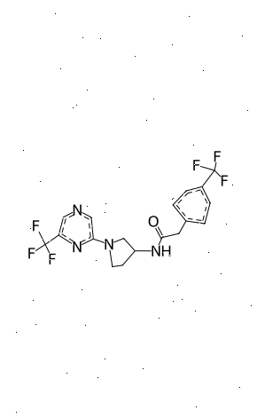 O=C(Cc1ccc(C(F)(F)F)cc1)NC1CCN(c2cncc(C(F)(F)F)n2)C1